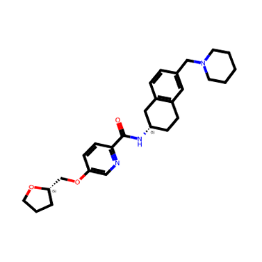 O=C(N[C@H]1CCc2cc(CN3CCCCC3)ccc2C1)c1ccc(OC[C@@H]2CCCO2)cn1